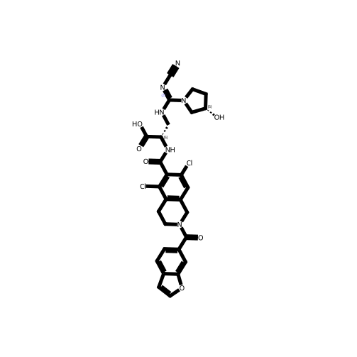 N#C/N=C(/NC[C@H](NC(=O)c1c(Cl)cc2c(c1Cl)CCN(C(=O)c1ccc3ccoc3c1)C2)C(=O)O)N1CC[C@H](O)C1